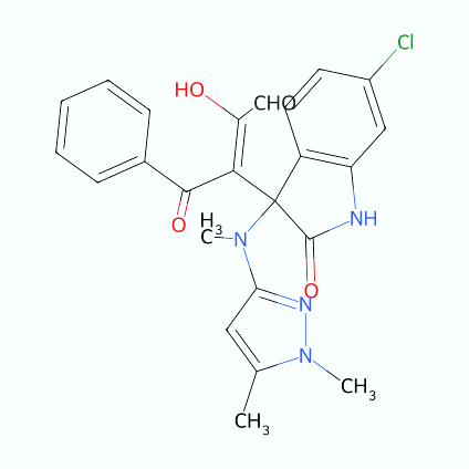 Cc1cc(N(C)C2(/C(C(=O)c3ccccc3)=C(/O)C=O)C(=O)Nc3cc(Cl)ccc32)nn1C